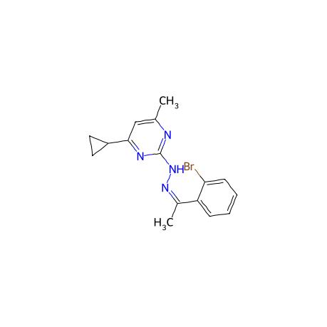 CC(=NNc1nc(C)cc(C2CC2)n1)c1ccccc1Br